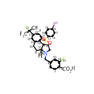 O=C(O)c1ccc(CN2CC[C@@]3(S(=O)(=O)c4ccc(I)cc4)c4ccc(C(F)(C(F)(F)F)C(F)(F)F)cc4CC[C@@H]23)cc1F